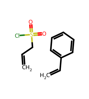 C=CCS(=O)(=O)Cl.C=Cc1ccccc1